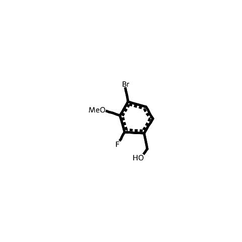 COc1c(Br)ccc(CO)c1F